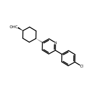 O=C[C@H]1CC[C@H](c2ccc(-c3ccc(Cl)cc3)nc2)CC1